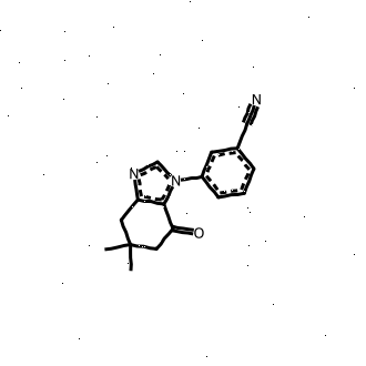 CC1(C)CC(=O)c2c(ncn2-c2cccc(C#N)c2)C1